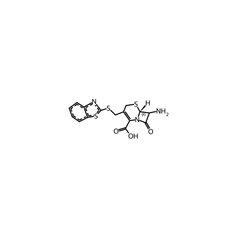 NC1C(=O)N2C(C(=O)O)=C(CSc3nc4ccccc4s3)CS[C@H]12